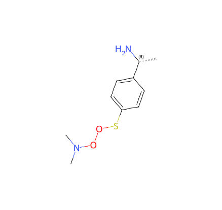 C[C@@H](N)c1ccc(SOON(C)C)cc1